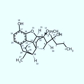 CCCC(C)(O)[C@H]1C[C@@]23CC[C@]1(OC)[C@@H]1Oc4c(O)ccc5c4[C@@]12CCN(C)[C@@H]3C5